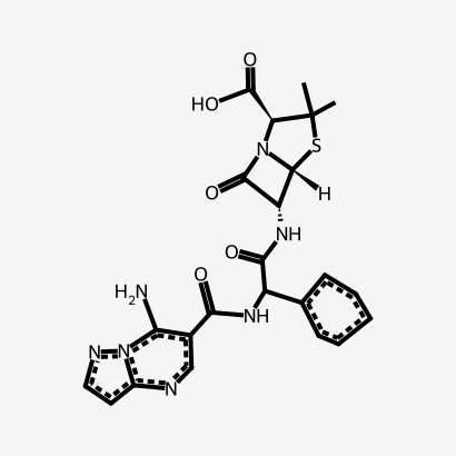 CC1(C)S[C@@H]2[C@H](NC(=O)C(NC(=O)c3cnc4ccnn4c3N)c3ccccc3)C(=O)N2[C@H]1C(=O)O